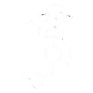 CCOC(=O)[C@@H]1[C@@H]2CC[C@H](CN1S(=O)(=O)c1ccc(Oc3cnn(C)c3)c(F)c1)N2C(=O)OCCOC